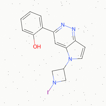 Oc1ccccc1-c1cc2c(ccn2C2CN(I)C2)nn1